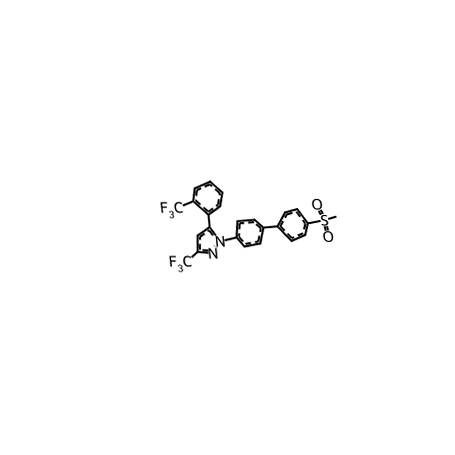 CS(=O)(=O)c1ccc(-c2ccc(-n3nc(C(F)(F)F)cc3-c3ccccc3C(F)(F)F)cc2)cc1